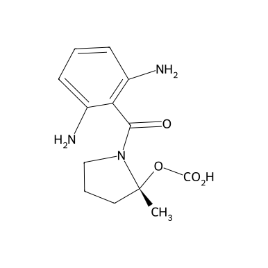 C[C@@]1(OC(=O)O)CCCN1C(=O)c1c(N)cccc1N